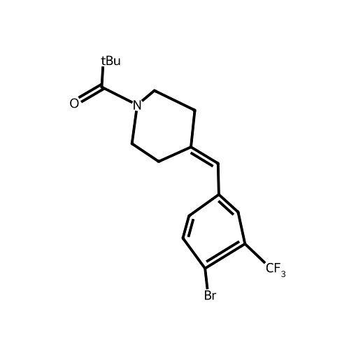 CC(C)(C)C(=O)N1CCC(=Cc2ccc(Br)c(C(F)(F)F)c2)CC1